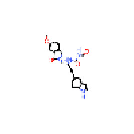 COc1ccc2c(c1)C(=O)N(C[C@@H](C#Cc1ccc3[nH]ccc3c1)NC(=O)NC=O)C2